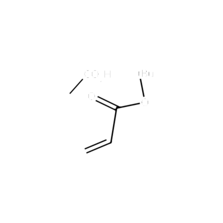 C=CC(=O)OC(C)(C)C.CC(=O)O